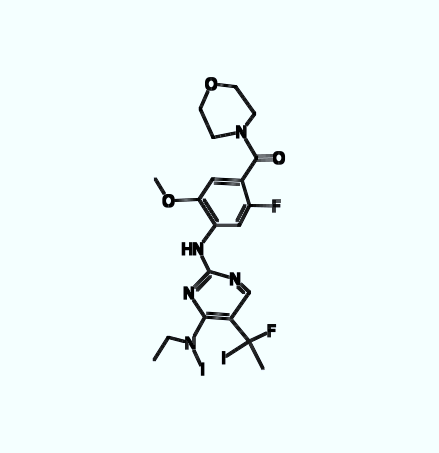 CCN(I)c1nc(Nc2cc(F)c(C(=O)N3CCOCC3)cc2OC)ncc1C(C)(F)I